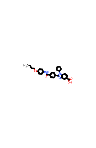 CCCCOc1ccc(NC(=O)c2ccc(-c3nc4cc(C(=O)O)ccc4n3C3CCCC3)cc2)cc1